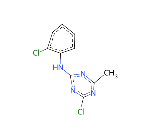 Cc1nc(Cl)nc(Nc2ccccc2Cl)n1